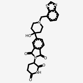 O=C1CCC(N2C(=O)c3ccc(C4(O)CCN(Cc5cccc6ncsc56)CC4)cc3C2=O)C(=O)N1